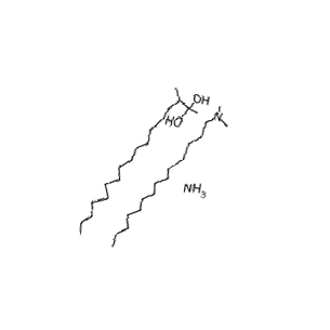 CCCCCCCCCCCCCCC(C)C(C)(O)O.CCCCCCCCCCCCCCN(C)C.N